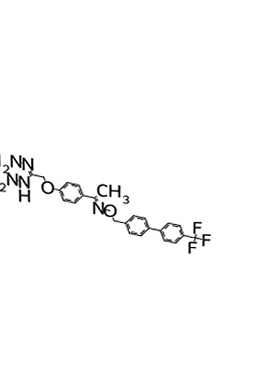 C/C(=N\OCc1ccc(-c2ccc(C(F)(F)F)cc2)cc1)c1ccc(OC/C(=N/N)NN)cc1